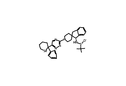 CC(C)(C)[S+]([O-])N[C@@H]1c2ccccc2CC12CCN(c1ncc(C3(c4ccccc4)CCCC[Se]3)nn1)CC2